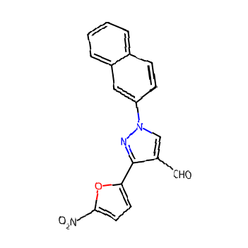 O=Cc1cn(-c2ccc3ccccc3c2)nc1-c1ccc([N+](=O)[O-])o1